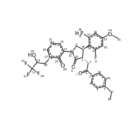 CCc1ccc(C(=O)C[C@@H]2C(=O)N(c3cncn(CC(O)C(F)(F)F)c3=O)C[C@H]2c2c(F)cc(OC)cc2P)cc1